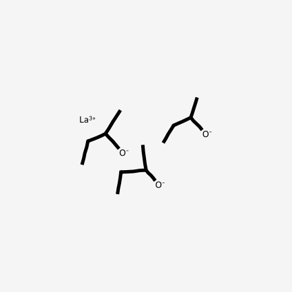 CCC(C)[O-].CCC(C)[O-].CCC(C)[O-].[La+3]